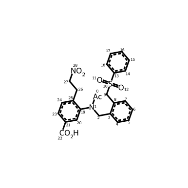 CC(=O)N(Cc1ccccc1CS(=O)(=O)c1ccccc1)c1cc(C(=O)O)ccc1CC[N+](=O)[O-]